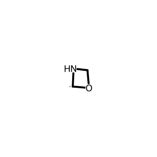 [CH]1NCO1